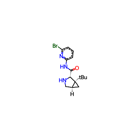 CC(C)(C)[C@]12C[C@H]1CN[C@@H]2C(=O)Nc1cccc(Br)n1